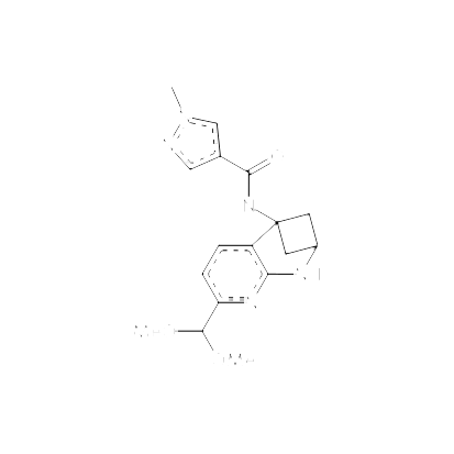 COC(OC)c1ccc2c(n1)NC1CC2(NC(=O)c2cnn(C)c2)C1